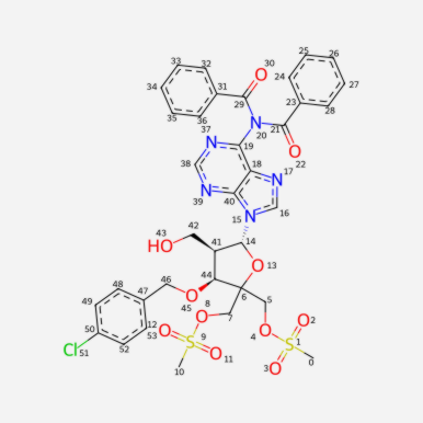 CS(=O)(=O)OCC1(COS(C)(=O)=O)O[C@@H](n2cnc3c(N(C(=O)c4ccccc4)C(=O)c4ccccc4)ncnc32)[C@H](CO)[C@@H]1OCc1ccc(Cl)cc1